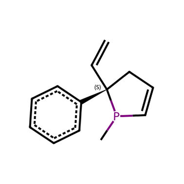 C=C[C@]1(c2ccccc2)CC=CP1C